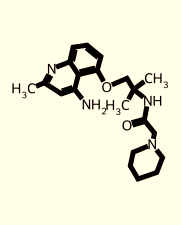 Cc1cc(N)c2c(OCC(C)(C)NC(=O)CN3CCCCC3)cccc2n1